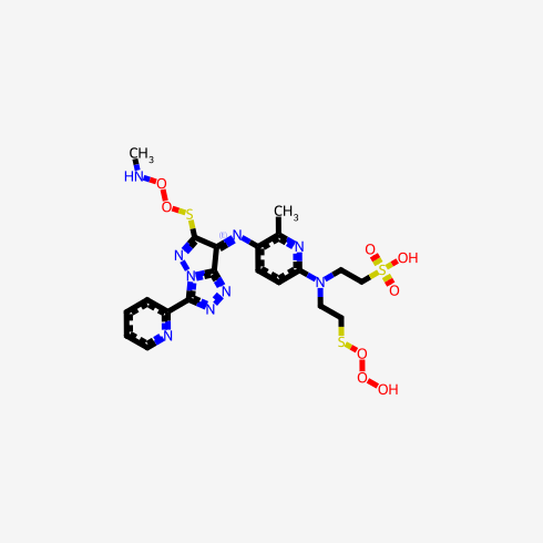 CNOOSC1=Nn2c(nnc2-c2ccccn2)/C1=N\c1ccc(N(CCSOOO)CCS(=O)(=O)O)nc1C